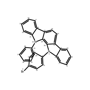 Brc1ccc(-n2c3ccccc3c3ccc4c5ccccc5n(-c5ccccc5)c4c32)cc1